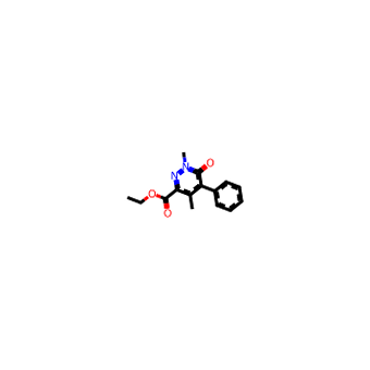 CCOC(=O)c1nn(C)c(=O)c(-c2ccccc2)c1C